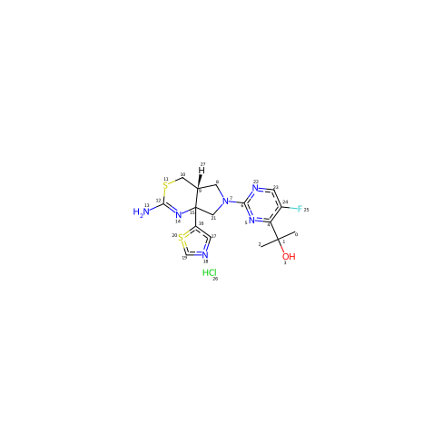 CC(C)(O)c1nc(N2C[C@H]3CSC(N)=NC3(c3cncs3)C2)ncc1F.Cl